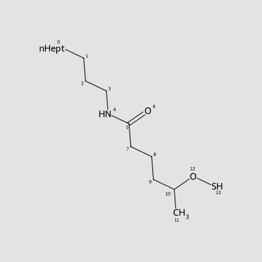 CCCCCCCCCCNC(=O)CCCC(C)OS